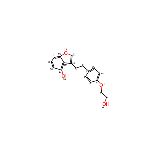 OCCOc1ccc(CCc2coc3cccc(O)c23)cc1